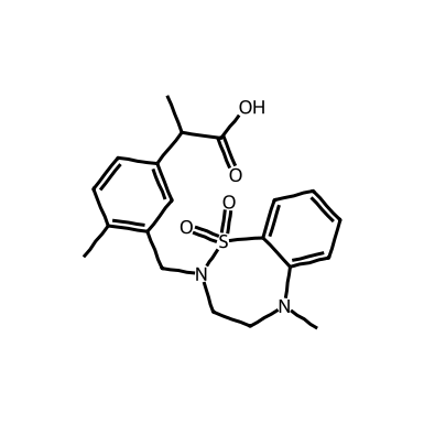 Cc1ccc(C(C)C(=O)O)cc1CN1CCN(C)c2ccccc2S1(=O)=O